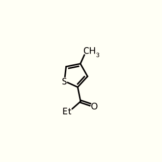 CCC(=O)c1cc(C)cs1